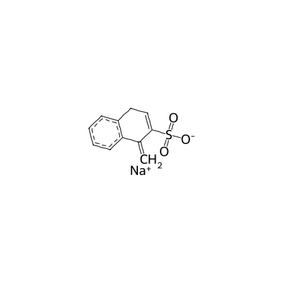 C=C1C(S(=O)(=O)[O-])=CCc2ccccc21.[Na+]